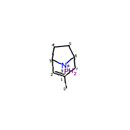 CC1=CC2CCC(C1)N2P